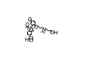 COc1ccc(OCCCN(CCCO)C(C)C)c(C2Sc3cc(Cl)ccc3N2C(C)=O)c1.Cl